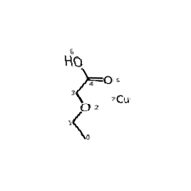 CCOCC(=O)O.[Cu]